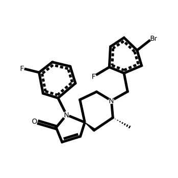 C[C@@H]1C[C@]2(C=CC(=O)N2c2cccc(F)c2)CCN1Cc1cc(Br)ccc1F